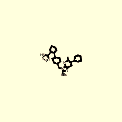 CCCCc1nc2cc(-c3ccccc3)c(C)nc2n1Cc1ccc(-c2ccccc2-c2nnn[nH]2)cc1